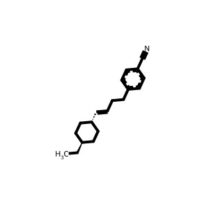 CC[C@H]1CC[C@H](/C=C/CCc2ccc(C#N)cc2)CC1